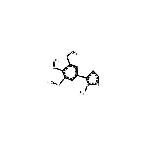 COc1cc(-c2ccnn2C)cc(OC)c1OC